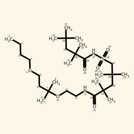 CCCCOCCC(C)(C)OCCNC(=O)C(C)(C)CC(C)(C)CS(=O)(=O)NC(=O)C(C)(C)CC(C)(C)C